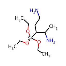 CCO[Si](OCC)(OCC)C(CCN)C(C)N